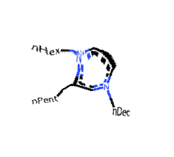 CCCCCCCCCCn1cc[n+](CCCCCC)c1CCCCC